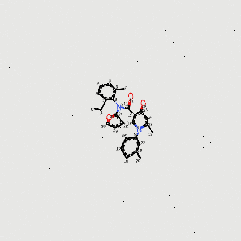 CCc1cccc(C)c1N(C(=O)c1cn(-c2cccc(C)c2)c(C)cc1=O)c1ccco1